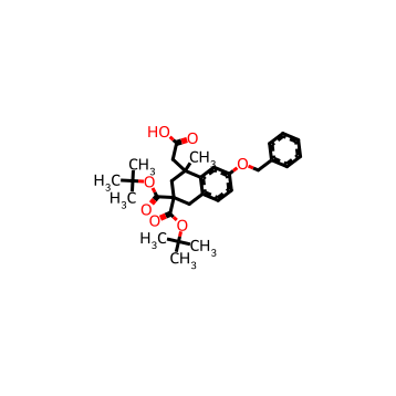 CC(C)(C)OC(=O)C1(C(=O)OC(C)(C)C)Cc2ccc(OCc3ccccc3)cc2C(C)(CC(=O)O)C1